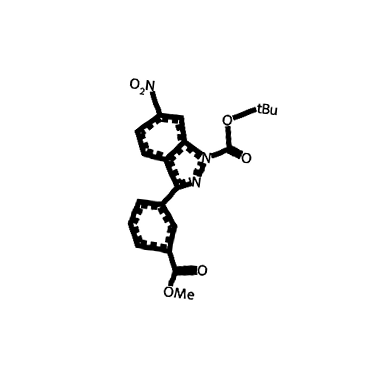 COC(=O)c1cccc(-c2nn(C(=O)OC(C)(C)C)c3cc([N+](=O)[O-])ccc23)c1